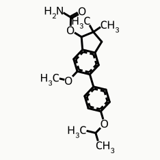 COc1cc2c(cc1-c1ccc(OC(C)C)cc1)CC(C)(C)C2OC(N)=O